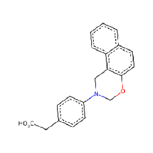 O=C(O)Cc1ccc(N2COc3ccc4ccccc4c3C2)cc1